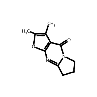 Cc1oc2nc3n(c(=O)c2c1C)CCC3